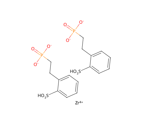 O=P([O-])([O-])CCc1ccccc1S(=O)(=O)O.O=P([O-])([O-])CCc1ccccc1S(=O)(=O)O.[Zr+4]